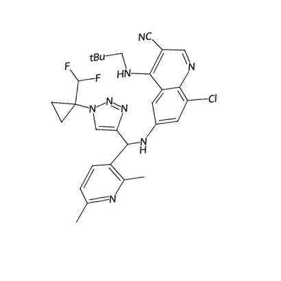 Cc1ccc(C(Nc2cc(Cl)c3ncc(C#N)c(NCC(C)(C)C)c3c2)c2cn(C3(C(F)F)CC3)nn2)c(C)n1